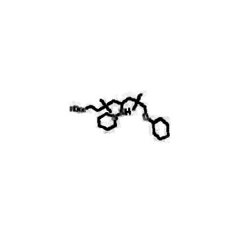 CCCCCCCCCCCCC(C)(C)CC(CC(C)(C)COC1CCCCC1)NN1CCCCC1